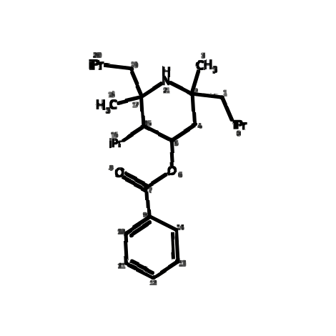 CC(C)CC1(C)CC(OC(=O)c2ccccc2)C(C(C)C)C(C)(CC(C)C)N1